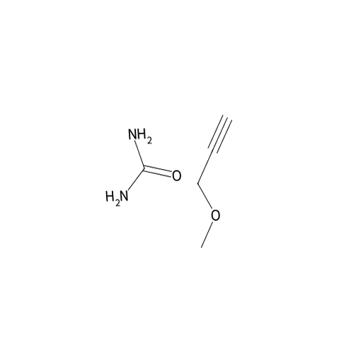 C#CCOC.NC(N)=O